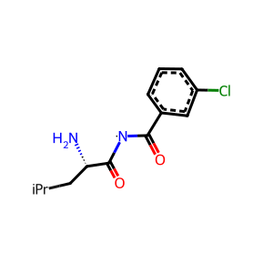 CC(C)C[C@H](N)C(=O)[N]C(=O)c1cccc(Cl)c1